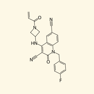 C=CC(=O)N1CC(Nc2c(C#N)c(=O)n(Cc3ccc(F)cc3)c3ccc(C#N)cc23)C1